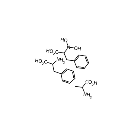 CC(N)C(=O)O.NC(Cc1ccccc1)C(=O)O.O=C(O)C(Cc1ccccc1)N(O)O